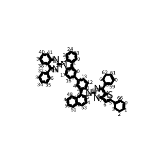 C1=CCCC(c2cc3nc(-n4c5ccc(-c6ccc7c(c6)c6ccccc6n7-c6nc(-c7ccccc7)c7ccccc7n6)cc5c5c6ccccc6ccc54)nc(C4=CC=CCC4)c3s2)=C1